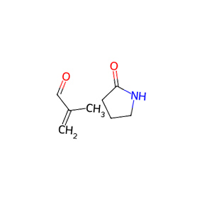 C=C(C)C=O.O=C1CCCN1